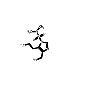 CCCc1c(CO)ncn1S(=O)(=O)N(C)C